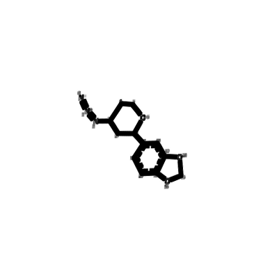 [N-]=[N+]=NC1CCOC(c2ccc3c(c2)OCO3)C1